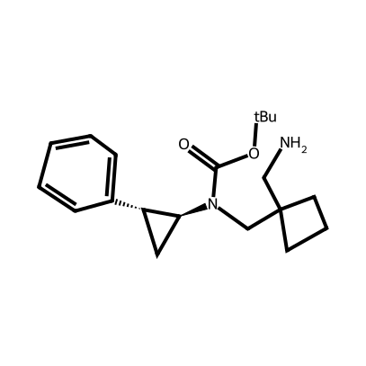 CC(C)(C)OC(=O)N(CC1(CN)CCC1)[C@H]1C[C@@H]1c1ccccc1